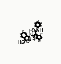 N=C(Nc1sc2c(c1C(=O)Nc1ccccc1)CCC2)C1CCCCC1C(=O)O